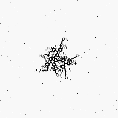 CCCCCC(C)(C)c1cc(C(c2ccc(O)c(C(C)(C)CCCCC)c2)c2cc(C(C)(C)c3cccc(C(C)(c4cc(C)c(O)c(C(c5ccc(O)c(C(C)(C)CCCCC)c5)c5ccc(O)c(C(C)(C)CCCCC)c5)c4)c4cc(C)c(O)c(C(c5ccc(O)c(C(C)(C)CCCCC)c5)c5ccc(O)c(C(C)(C)CCCCC)c5)c4)c3)cc(C)c2O)ccc1O